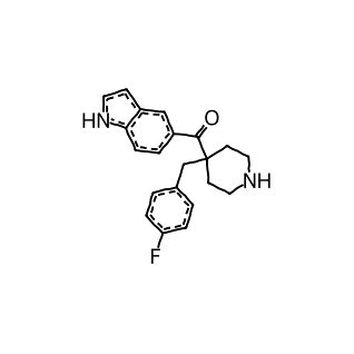 O=C(c1ccc2[nH]ccc2c1)C1(Cc2ccc(F)cc2)CCNCC1